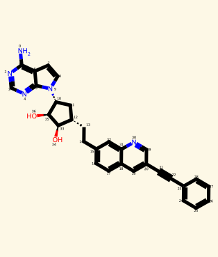 Nc1ncnc2c1ccn2[C@@H]1C[C@H](CCc2ccc3cc(C#Cc4ccccc4)cnc3c2)[C@@H](O)[C@H]1O